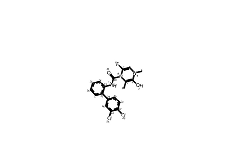 CC1=C(O)N(C)C=C(F)N1C(=O)Nc1ccccc1-c1ccc(Cl)c(Cl)c1